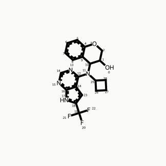 OC1COc2ccccc2C1N(c1ncnc2[nH]c(C(F)(F)F)cc12)C1CCC1